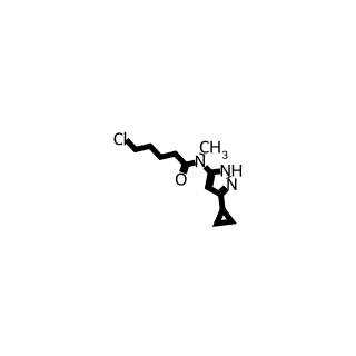 CN(C(=O)CCCCCl)c1cc(C2CC2)n[nH]1